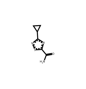 NC(=O)c1nc(C2CC2)ns1